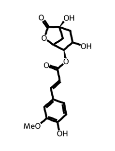 COc1cc(/C=C/C(=O)O[C@@H]2C(O)C[C@]3(O)CC2OC3=O)ccc1O